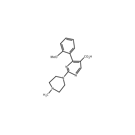 COc1ccccc1-c1nc(N2CCN(C)CC2)ncc1C(=O)O